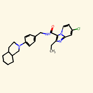 CCc1nc2cc(Cl)ccn2c1C(=O)NCc1ccc(N2CCC3CCCCC3C2)cc1